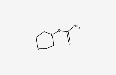 NC(=S)SN1CCOCC1